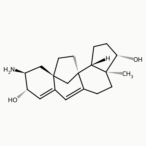 C[C@]12CCC3=CC4=C[C@H](O)[C@@H](N)C[C@]45CC[C@]3(C5)[C@@H]1CC[C@@H]2O